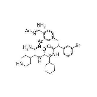 CC(=O)N=C(N)c1ccc(CC(C(=O)N[C@H](C(=O)NC(C(N)=NC(C)=O)C2CCNCC2)C2CCCCC2)c2cccc(Br)c2)cc1